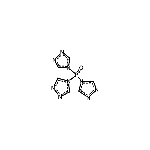 O=P(n1cnnc1)(n1cnnc1)n1cnnc1